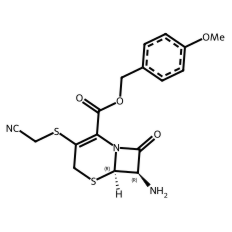 COc1ccc(COC(=O)C2=C(SCC#N)CS[C@@H]3[C@H](N)C(=O)N23)cc1